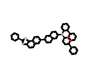 c1ccc(-c2ccc(N(c3ccc4cc(-c5ccc6c(ccc7nc(-c8ccccc8)oc76)c5)ccc4c3)c3ccccc3-c3ccccc3)cc2)cc1